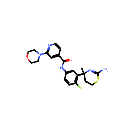 CC1(c2cc(NC(=O)c3ccnc(N4CCOCC4)c3)ccc2F)CCSC(N)=N1